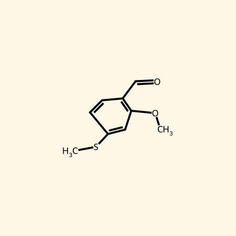 COc1cc(SC)ccc1C=O